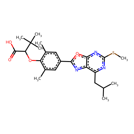 CSc1nc(CC(C)C)c2nc(-c3cc(C)c(OC(C(=O)O)C(C)(C)C)c(C)c3)oc2n1